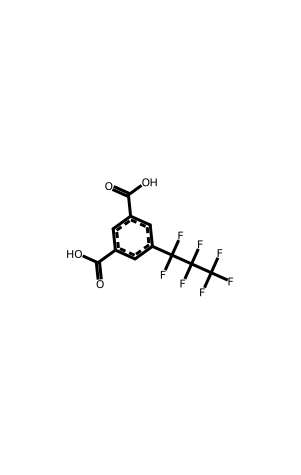 O=C(O)c1cc(C(=O)O)cc(C(F)(F)C(F)(F)C(F)(F)F)c1